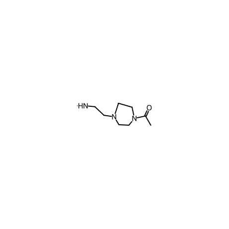 CC(=O)N1CCN(CC[NH])CC1